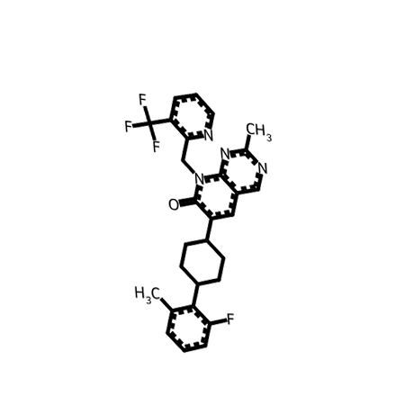 Cc1ncc2cc(C3CCC(c4c(C)cccc4F)CC3)c(=O)n(Cc3ncccc3C(F)(F)F)c2n1